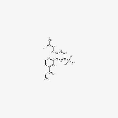 COC(=O)c1cccc(-c2cc(C(F)(F)F)ccc2OCC(=O)O)c1